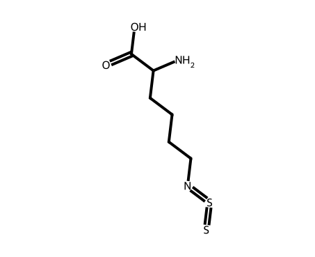 NC(CCCCN=S=S)C(=O)O